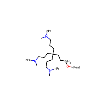 CCCC(C)O[SiH2]CCC(CCCN(C)CCC)(CCCN(C)CCC)CCCN(C)CCC